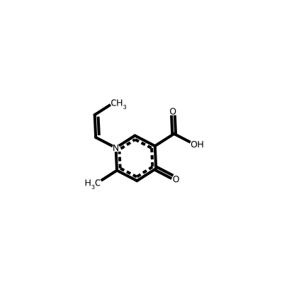 C/C=C\n1cc(C(=O)O)c(=O)cc1C